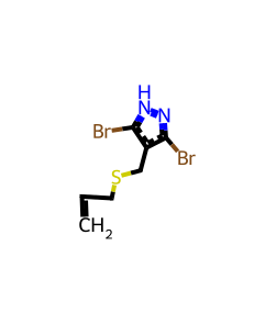 C=CCSCc1c(Br)n[nH]c1Br